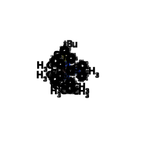 CC(C)(C)c1ccc2sc3c(N4c5cc6c(cc5B5c7cc8c(cc7N(c7ccc9c(c7)C(C)(C)CCC9(C)C)c7cc(N9c%10ccccc%10C%10(C)CCCCC9%10C)cc4c75)C(C)(C)CCC8(C)C)C(C)(C)CCC6(C)C)cccc3c2c1